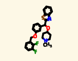 CN1CCC(OC(c2cccc(OCc3cccc(F)c3F)c2)c2nc3ccccc3s2)CC1